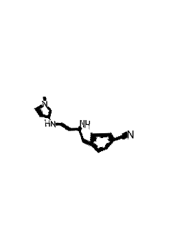 CN1CC[C@@H](NCCC(=N)Cc2ccc(C#N)cc2)C1